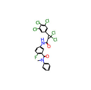 CN(C(=O)c1cc(NC(=O)C2C(c3cc(Cl)c(Cl)c(Cl)c3)C2(Cl)Cl)ccc1F)c1ccccc1